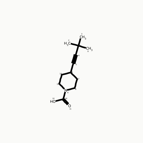 CC(C)(C)C#CC1CCN(C(=O)O)CC1